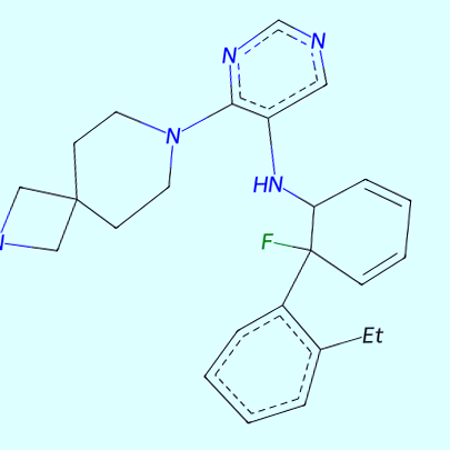 CCc1ccccc1C1(F)C=CC=CC1Nc1cncnc1N1CCC2(CC1)CNC2